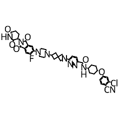 N#Cc1ccc(O[C@H]2CC[C@H](NC(=O)c3ccc(N4CC5(CC(N6CCN(c7cc8c(cc7F)C(=O)N(C7CCC(=O)NC7=O)C8=O)CC6)C5)C4)nn3)CC2)cc1Cl